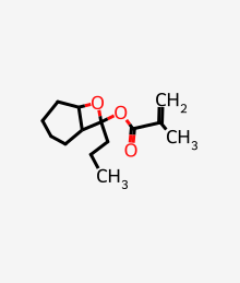 C=C(C)C(=O)OC1(CCC)OC2CCCCC21